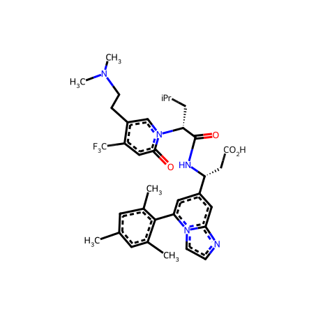 Cc1cc(C)c(-c2cc([C@@H](CC(=O)O)NC(=O)[C@@H](CC(C)C)n3cc(CCN(C)C)c(C(F)(F)F)cc3=O)cc3nccn23)c(C)c1